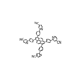 N#Cc1ccnc(-c2ccc(-c3cc(-c4ccc(-c5cc(C#N)ccn5)cc4)c4ccc5c(-c6ccc(-c7cc(C#N)ccn7)cc6)cc(-c6ccc(-c7cc(C#N)ccn7)cc6)c6ccc3c4c65)cc2)c1